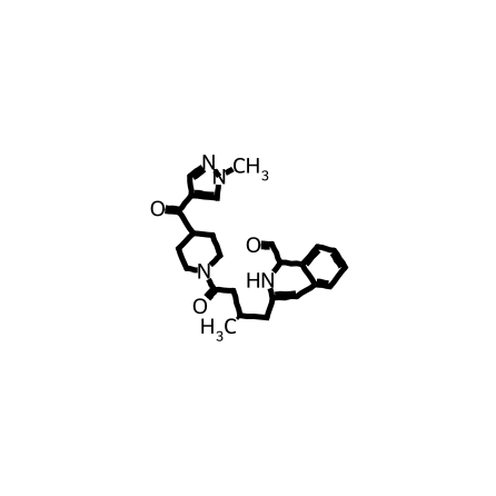 C[C@H](CC(=O)N1CCC(C(=O)c2cnn(C)c2)CC1)CC1=Cc2ccccc2C(C=O)N1